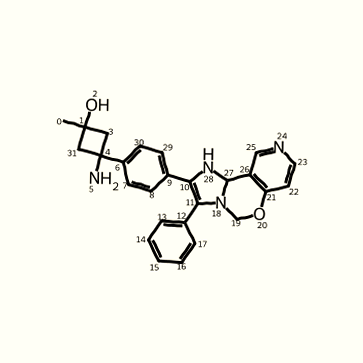 CC1(O)CC(N)(c2ccc(C3=C(c4ccccc4)N4COc5ccncc5C4N3)cc2)C1